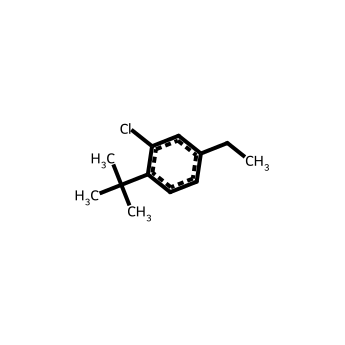 CCc1ccc(C(C)(C)C)c(Cl)c1